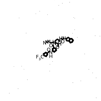 [N-]=[N+]=NCCN1C(=O)c2cc(NC(=O)c3ccc(C(F)(F)F)cc3)ccc2OC[C@@H]2O[C@H](CC(=O)NC3Cc4ccccc4C3)CC[C@@H]21